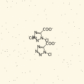 O=C([O-])c1nnnn1Cl.O=C([O-])c1nnnn1Cl.[Cu+2]